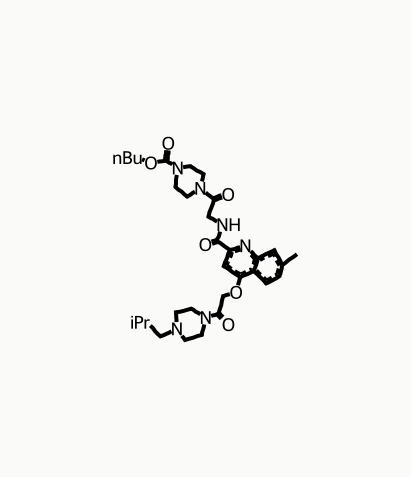 CCCCOC(=O)N1CCN(C(=O)CNC(=O)c2cc(OCC(=O)N3CCN(CC(C)C)CC3)c3ccc(C)cc3n2)CC1